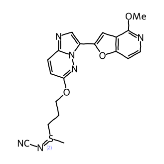 COc1nccc2oc(-c3cnc4ccc(OCCC/S(C)=N\C#N)nn34)cc12